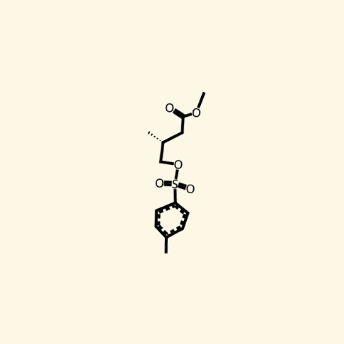 COC(=O)C[C@@H](C)COS(=O)(=O)c1ccc(C)cc1